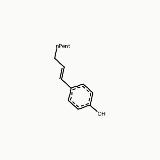 CCCCCCC=Cc1ccc(O)cc1